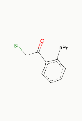 CCCc1ccccc1C(=O)CBr